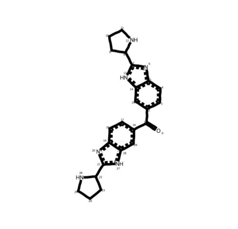 O=C(c1ccc2nc(C3CCCN3)[nH]c2c1)c1ccc2nc(C3CCCN3)[nH]c2c1